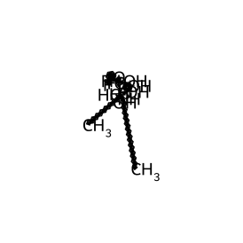 CCCCCCCCCCCCCCCCCCCCCCCCCCN[C@@H](CO[C@H]1O[C@H](COC(=O)Nc2ccccc2C(F)(F)F)[C@H](O)[C@H](O)[C@H]1O)[C@H](O)[C@H](O)CCCCCCCCCCCCCC